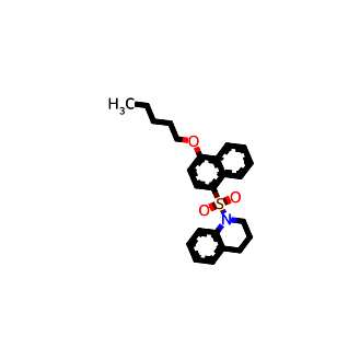 CCCCCOc1ccc(S(=O)(=O)N2CCCc3ccccc32)c2ccccc12